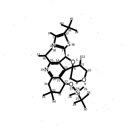 Cc1nc([C@H]2OC3(CCOCC3I)c3c2c(C(C)C)nc2c3[C@@H](O[Si](C)(C)C(C)(C)C)CC(C)(C)C2)sc1C(C)(C)C